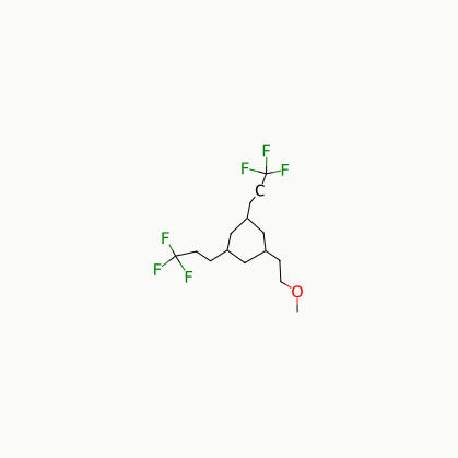 COCCC1CC(CCC(F)(F)F)CC(CCC(F)(F)F)C1